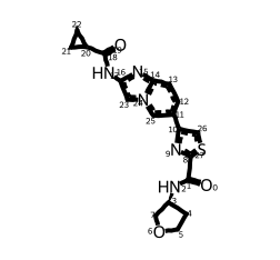 O=C(N[C@H]1CCOC1)c1nc(-c2ccc3nc(NC(=O)C4CC4)cn3c2)cs1